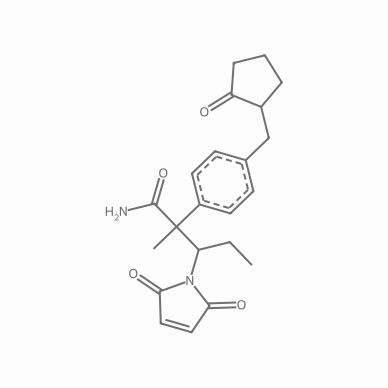 CCC(N1C(=O)C=CC1=O)C(C)(C(N)=O)c1ccc(CC2CCCC2=O)cc1